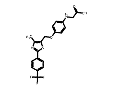 Cc1nc(-c2ccc(C(F)(F)F)cc2)sc1COc1ccc(NCC(=O)O)cc1